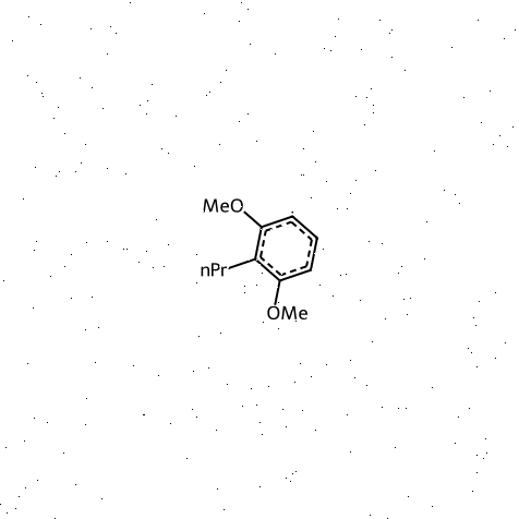 CCCc1c(OC)[c]ccc1OC